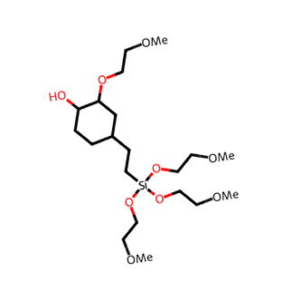 COCCOC1CC(CC[Si](OCCOC)(OCCOC)OCCOC)CCC1O